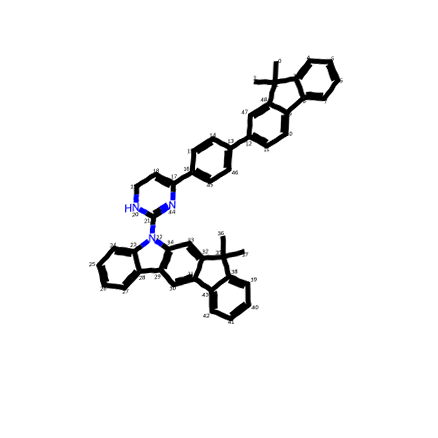 CC1(C)c2ccccc2-c2ccc(-c3ccc(C4=CCNC(n5c6ccccc6c6cc7c(cc65)C(C)(C)c5ccccc5-7)=N4)cc3)cc21